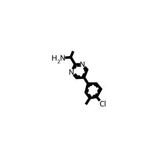 Cc1cc(-c2cnc(C(C)N)nc2)ccc1Cl